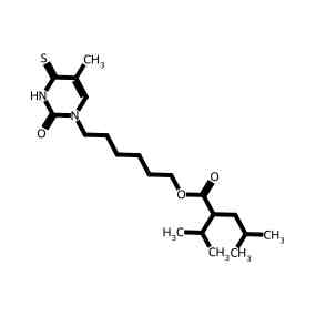 Cc1cn(CCCCCCOC(=O)C(CC(C)C)C(C)C)c(=O)[nH]c1=S